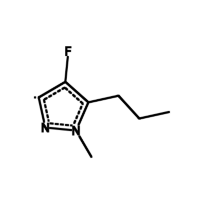 CCCc1c(F)[c]nn1C